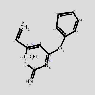 C=C/C(=C/C(=N\C(=N)Cl)Oc1ccccc1)C(=O)OCC